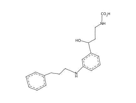 O=C(O)NCCC(O)c1cccc(NCCCc2ccccc2)c1